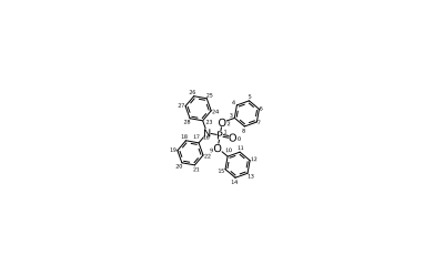 O=P(Oc1ccccc1)(Oc1ccccc1)N(c1ccccc1)c1ccccc1